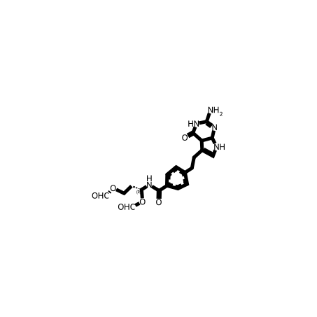 NC1=NC2NC=C(CCc3ccc(C(=O)N[C@@H](CCOC=O)OC=O)cc3)C2C(=O)N1